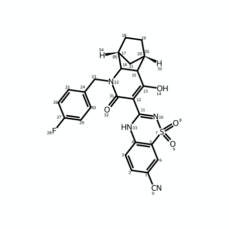 N#Cc1ccc2c(c1)S(=O)(=O)N=C(C1=C(O)C3C([C@@H]4CC[C@H]3C4)N(Cc3ccc(F)cc3)C1=O)N2